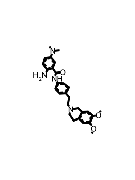 COc1cc2c(cc1OC)CN(CCc1ccc(NC(=O)c3cc(N(C)C)ccc3N)cc1)CC2